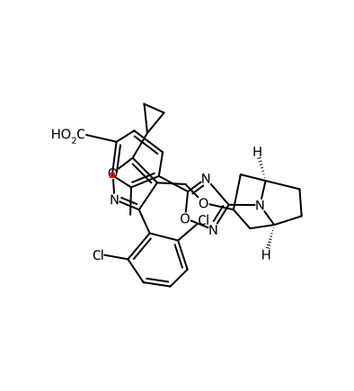 Cc1cc(C(=O)O)ccc1-c1nc(N2[C@@H]3CC[C@H]2CC(OCc2c(-c4c(Cl)cccc4Cl)noc2C2CC2)C3)no1